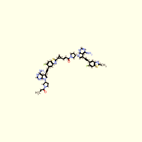 C=CC(=O)N1CC[C@H](n2cc(C#Cc3cc4nc(C5CC5/C=C/C(=O)N5CC[C@H](n6cc(C#Cc7cc8nc(C)sc8cc7F)c7c(N)ncnc76)C5)sc4cc3F)c3c(N)ncnc32)C1